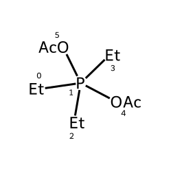 CCP(CC)(CC)(OC(C)=O)OC(C)=O